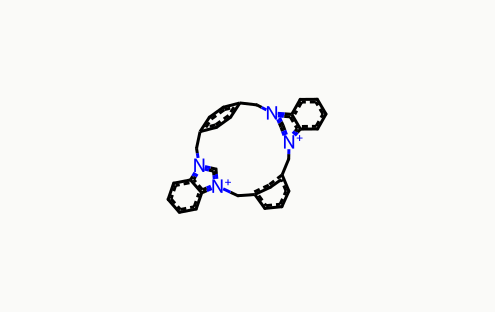 c1cc2cc(c1)C[n+]1cn(c3ccccc31)Cc1ccc(cc1)Cn1c[n+](c3ccccc31)C2